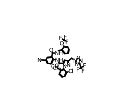 Cc1cc(C#N)cc(C(=O)NCc2ccccc2OC(F)(F)F)c1NC(=O)c1cc(Cn2nnc(C(F)(F)F)n2)nn1-c1c(Cl)cccc1Cl